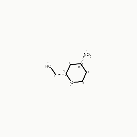 O=[N+]([O-])[C@@H]1CCO[C@H](CO)C1